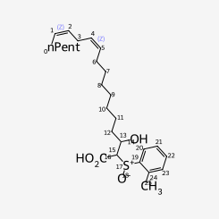 CCCCC/C=C\C/C=C\CCCCCCCC(O)C(C(=O)O)[S+]([O-])c1ccccc1C